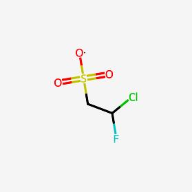 [O]S(=O)(=O)CC(F)Cl